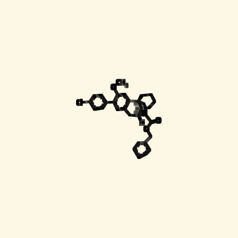 COc1cc2c(cc1-c1ccc(Cl)cc1)C[C@@H]1[C@@H]3CCCC[C@]23CCN1C(=O)OCc1ccccc1